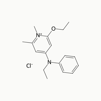 CCOc1cc(N(CC)c2ccccc2)cc(C)[n+]1C.[Cl-]